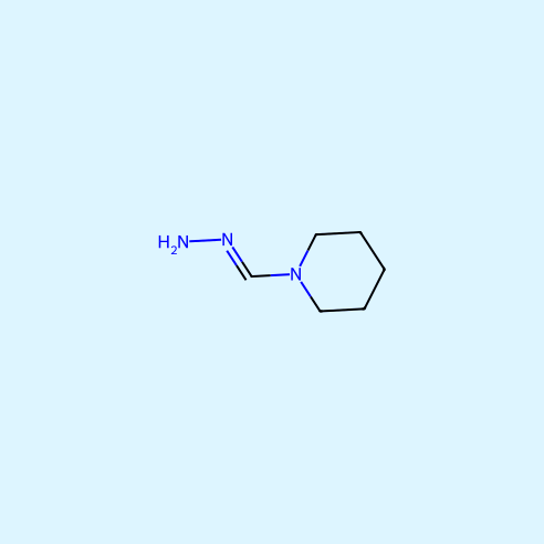 NN=CN1CCCCC1